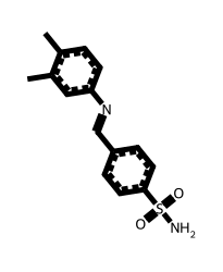 Cc1ccc(N=Cc2ccc(S(N)(=O)=O)cc2)cc1C